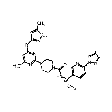 Cc1cc(Oc2cc(C)[nH]n2)nc(N2CCN(C(=O)N[C@@H](C)c3ccc(-n4cc(F)cn4)nc3)CC2)n1